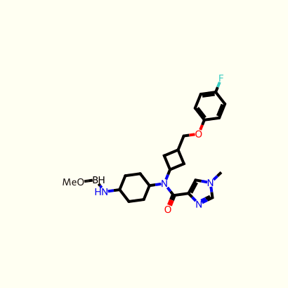 COBNC1CCC(N(C(=O)c2cn(C)cn2)C2CC(COc3ccc(F)cc3)C2)CC1